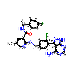 C[C@H](NC(=O)c1cc(C#N)cnc1NCc1ccc(-c2n[nH]c3ncnc(N)c23)c(F)c1)c1ccc(F)cc1